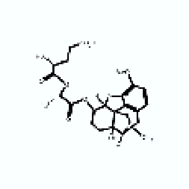 COc1ccc2c3c1O[C@H]1C(OC(=O)[C@H](C)OC(=O)[C@@H](C)CCC(=O)O)CC[C@@]4(O)[C@@H](C2)N(C)CC[C@]314